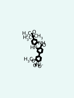 COc1cc(-c2ccc3c(c2)Nc2ccc(C(C)(C)C(C)=O)cc2NC3=O)ccc1[N+](=O)[O-]